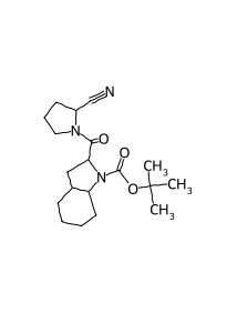 CC(C)(C)OC(=O)N1C(C(=O)N2CCCC2C#N)CC2CCCCC21